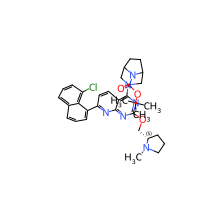 CN1CCC[C@H]1COc1nc(N2CC3CCC(C2)N3C(=O)OC(C)(C)C)c2ccc(-c3cccc4cccc(Cl)c34)nc2n1